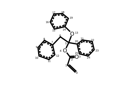 C=CC(=O)OC(Cc1ccccc1)(Oc1ccccc1)c1ccccc1